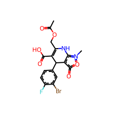 CC(=O)OCC1=C(C(=O)O)C(c2ccc(F)c(Br)c2)c2c(n(C)oc2=O)N1